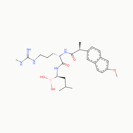 CNC(=N)NCCC[C@H](NC(=O)[C@@H](C)c1ccc2cc(OC)ccc2c1)C(=O)N[C@@H](CC(C)C)B(O)O